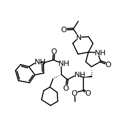 COC(=O)[C@H](C[C@@H]1CC2(CCN(C(C)=O)CC2)NC1=O)NC(=O)[C@H](CC1CCCCC1)NC(=O)c1cc2ccccc2[nH]1